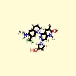 CC(=O)N(C)c1cc2c(cc1C(F)F)N(c1nc(N3CC[C@H](O)C3)cc3c1cc(C)c(=O)n3C)CCC2